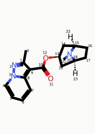 Cc1nn2ccccc2c1C(=O)O[C@H]1C[C@H]2CC[C@@H](C1)N2C